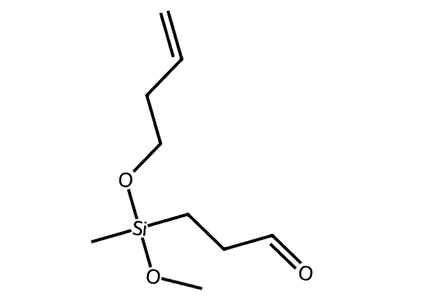 C=CCCO[Si](C)(CCC=O)OC